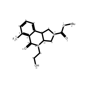 CC(C)(C)OC(=O)N1CC2c3cccc(C(F)(F)F)c3C(=O)N(CCO)C2C1